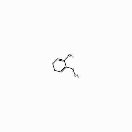 COC1=CCCC=C1C